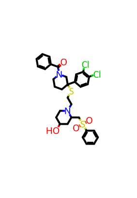 O=C(c1ccccc1)N1CCCC(SCCN2CCC(O)CC2CS(=O)(=O)c2ccccc2)(c2ccc(Cl)c(Cl)c2)C1